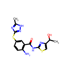 Cc1nc(Sc2ccc(N)c(C(=O)Nc3nc(C(C)O)cs3)c2)n[nH]1